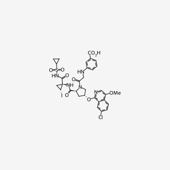 COc1cnc(O[C@@H]2C[C@@H](C(=O)N[C@]3(C(=O)NS(=O)(=O)C4CC4)C[C@H]3I)N(C(=O)CNc3cccc(C(=O)O)c3)C2)c2cc(Cl)ccc12